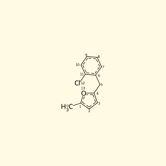 Cc1ccc(Cc2ccccc2Cl)o1